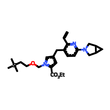 C=Cc1nc(N2CC3CC3C2)ccc1Cc1cc(C(=O)OCC)n(COCC[Si](C)(C)C)c1